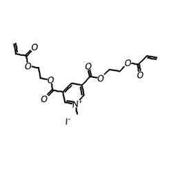 C=CC(=O)OCCOC(=O)c1cc(C(=O)OCCOC(=O)C=C)c[n+](C)c1.[I-]